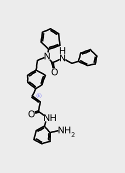 Nc1ccccc1NC(=O)/C=C/c1ccc(CN(C(=O)NCc2ccccc2)c2ccccc2)cc1